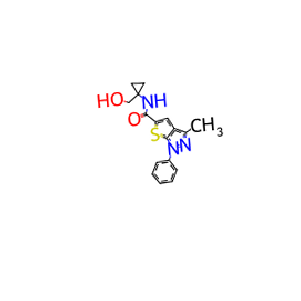 Cc1nn(-c2ccccc2)c2sc(C(=O)NC3(CO)CC3)cc12